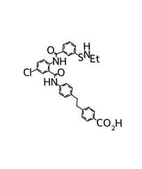 CCNSc1cccc(C(=O)Nc2ccc(Cl)cc2C(=O)Nc2ccc(CCc3ccc(C(=O)O)cc3)cc2)c1